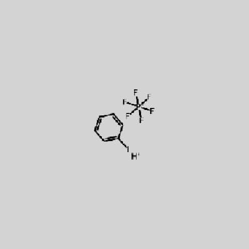 F[P-](F)(F)(F)(F)F.Ic1ccccc1.[H+]